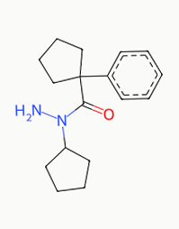 NN(C(=O)C1(c2ccccc2)CCCC1)C1CCCC1